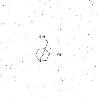 Cl.Cl.NCC12CCN(CC1)CC2